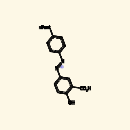 CCCCCc1ccc(/N=N/c2ccc(O)c(C(=O)O)c2)cc1